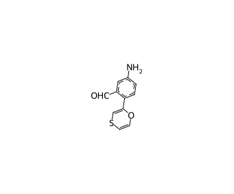 Nc1ccc(C2=CSC=CO2)c(C=O)c1